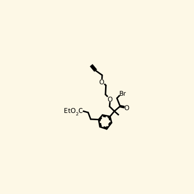 C#CCOCCOCC(C)(C(=O)CBr)c1cccc(CCC(=O)OCC)c1